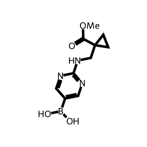 COC(=O)C1(CNc2ncc(B(O)O)cn2)CC1